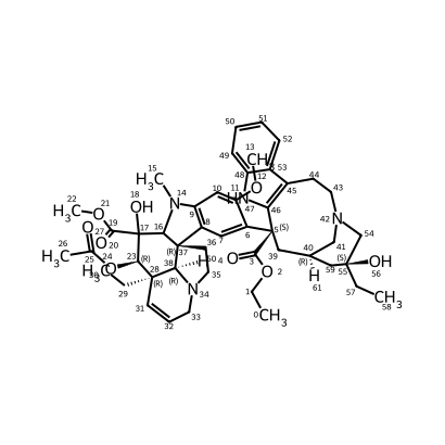 CCOC(=O)[C@]1(c2cc3c(cc2OC)N(C)C2C(O)(C(=O)OC)[C@H](OC(C)=O)[C@]4(CC)C=CCN5CC[C@]32[C@@H]54)C[C@H]2CN(CCc3c1[nH]c1ccccc31)C[C@](O)(CC)C2